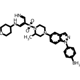 Bc1ccc(-n2ncc3cc(N4CCN(S(=O)(=O)/C(C=N)=C/NC5CCOCC5)C(C)C4)ccc32)cc1